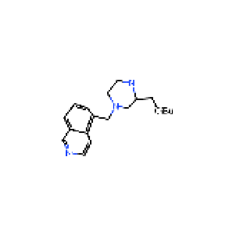 CC(C)COCC1CN(Cc2cccc3cnccc23)CCN1